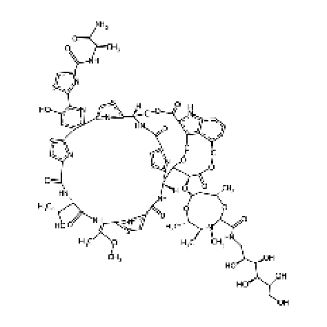 C=C(NC(=O)c1csc(-c2nc3c(cc2O)-c2nc(cs2)C(=O)N[C@@H]([C@@H](C)O)C(=O)N/C(=C(\C)OC)c2nc(cs2)C(=O)N[C@@H]2c4nc(cs4)C(=O)N[C@@H](COC(=O)c4[nH]c5cccc6c5c4COC2[C@H](O[C@H]2C[C@H](C)OC(C(=O)NC[C@H](O)[C@@H](O)[C@H](O)[C@H](O)CO)N(C)[C@@H](C)[C@H](C)O2)C(=O)OC6)c2nc-3cs2)n1)C(N)=O